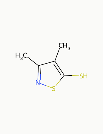 Cc1nsc(S)c1C